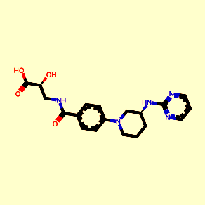 O=C(NC[C@H](O)C(=O)O)c1ccc(N2CCC[C@H](Nc3ncccn3)C2)cc1